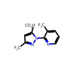 O=C(O)c1cc(C(F)(F)F)nn1-c1ncccc1C(F)(F)F